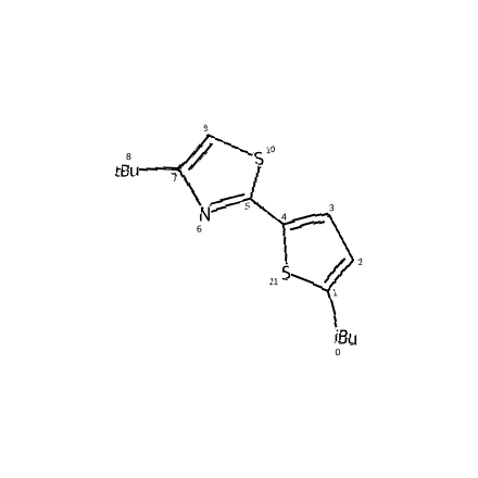 CCC(C)c1ccc(-c2nc(C(C)(C)C)cs2)s1